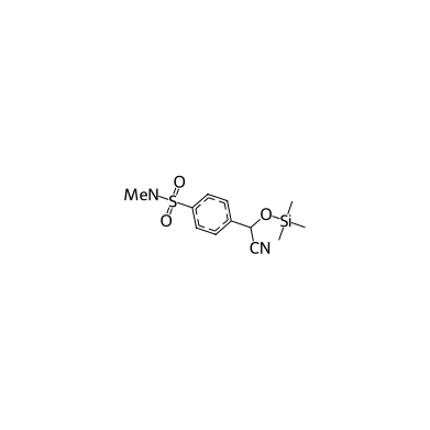 CNS(=O)(=O)c1ccc(C(C#N)O[Si](C)(C)C)cc1